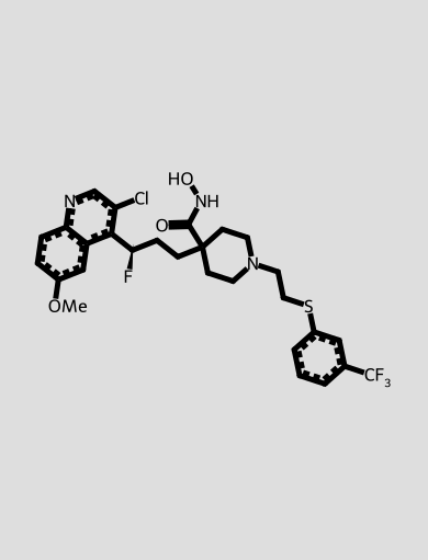 COc1ccc2ncc(Cl)c([C@H](F)CCC3(C(=O)NO)CCN(CCSc4cccc(C(F)(F)F)c4)CC3)c2c1